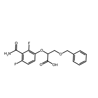 NC(=O)c1c(F)ccc(OC(COCc2ccccc2)C(=O)O)c1F